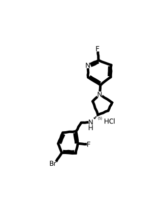 Cl.Fc1ccc(N2CC[C@H](NCc3ccc(Br)cc3F)C2)cn1